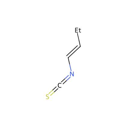 CC/C=C/N=C=S